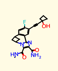 CNC(=O)c1c(C(N)=O)nc2n1C1CC(C1)c1cc(F)c(C#CC3(O)CCC3)cc1-2